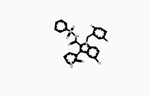 O=C(NS(=O)(=O)c1ccccc1)c1c(-c2ccc[nH]c2=O)c2cc(Cl)ccc2n1Cc1cc(F)ccc1F